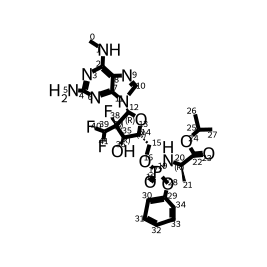 CNc1nc(N)nc2c1ncn2[C@@H]1O[C@H](COP(=O)(N[C@H](C)C(=O)OC(C)C)Oc2ccccc2)[C@@H](O)[C@]1(F)C(F)F